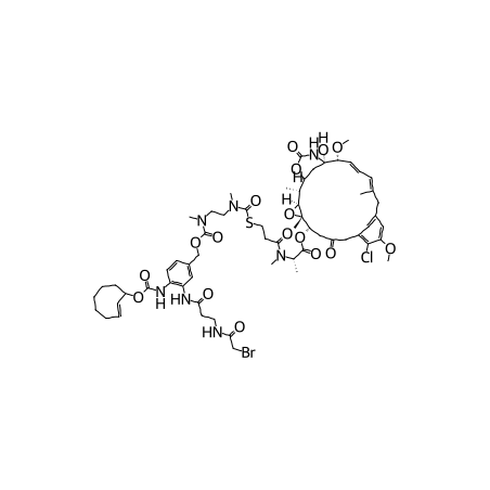 COc1cc2cc(c1Cl)CC(=O)C[C@H](OC(=O)[C@H](C)N(C)C(=O)CCSC(=O)N(C)CCN(C)C(=O)OCc1ccc(NC(=O)OC3/C=C/CCCCC3)c(NC(=O)CCNC(=O)CBr)c1)[C@]1(C)O[C@H]1[C@H](C)[C@@H]1C[C@@](O)(NC(=O)O1)[C@H](OC)/C=C/C=C(\C)C2